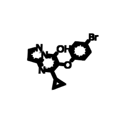 Oc1c(Oc2ccc(Br)cc2)c(C2CC2)nc2ccnn12